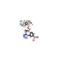 CC(C)(C)[Si](C)(C)OCCOc1ccc([N+](=O)[O-])cc1-n1nnnc1C1CC1